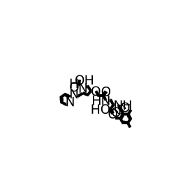 Cc1cc(C)c(S(=O)(=O)NC(CNC(=O)COC2CC(CNc3ccccn3)N(C(=O)O)C2)C(=O)O)c(C)c1